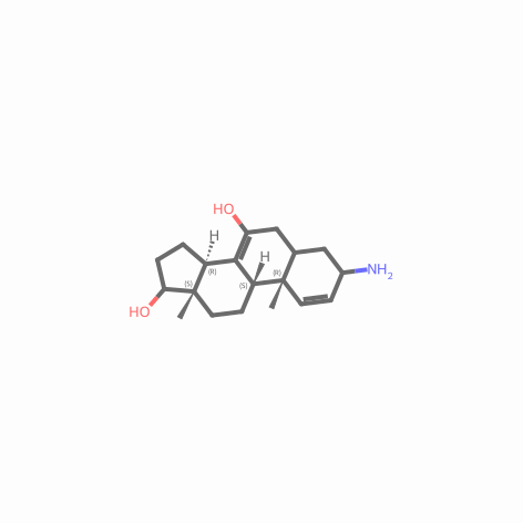 C[C@]12C=CC(N)CC1CC(O)=C1[C@H]2CC[C@]2(C)C(O)CC[C@@H]12